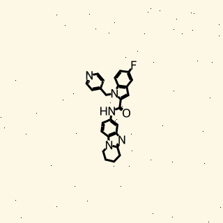 O=C(Nc1ccc2c(c1)nc1n2CCCC1)c1cc2cc(F)ccc2n1Cc1ccncc1